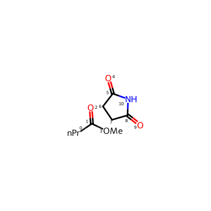 CCCC(=O)OC.O=C1CCC(=O)N1